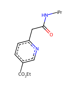 CCOC(=O)c1ccc(CC(=O)NC(C)C)nc1